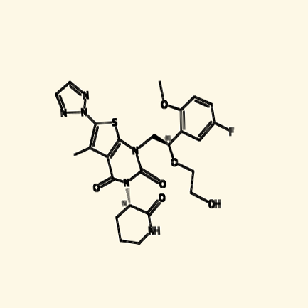 COc1ccc(F)cc1[C@H](Cn1c(=O)n([C@H]2CCCNC2=O)c(=O)c2c(C)c(-n3nccn3)sc21)OCCO